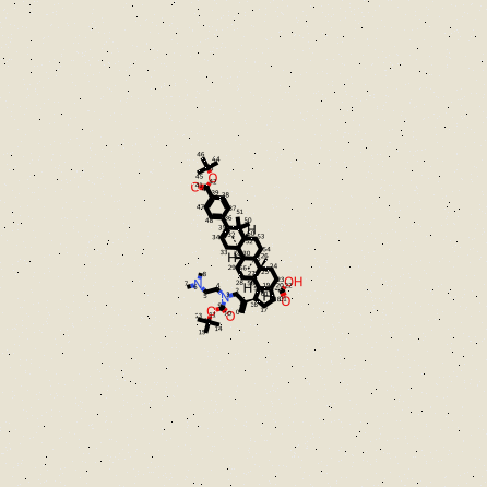 C=C(CN(CCN(C)C)C(=O)OC(C)(C)C)[C@@H]1CC[C@]2(C(=O)O)CC[C@]3(C)[C@H](CC[C@@H]4[C@@]5(C)CC=C(c6ccc(C(=O)OC(C)(C)C)cc6)C(C)(C)[C@@H]5CC[C@]43C)[C@@H]12